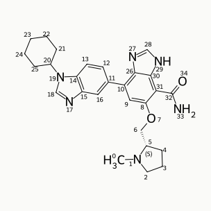 CN1CCC[C@H]1COc1cc(-c2ccc3c(c2)ncn3C2CCCCC2)c2nc[nH]c2c1C(N)=O